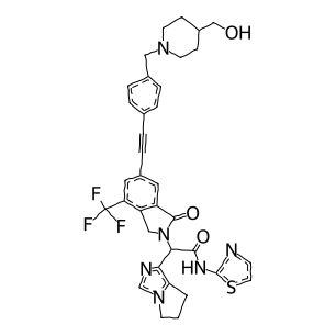 O=C(Nc1nccs1)C(c1ncn2c1CCC2)N1Cc2c(cc(C#Cc3ccc(CN4CCC(CO)CC4)cc3)cc2C(F)(F)F)C1=O